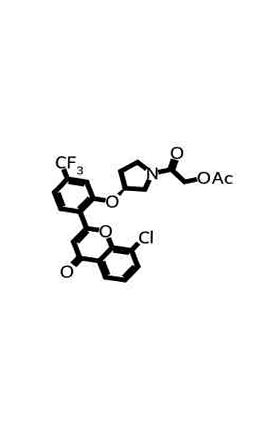 CC(=O)OCC(=O)N1CC[C@H](Oc2cc(C(F)(F)F)ccc2-c2cc(=O)c3cccc(Cl)c3o2)C1